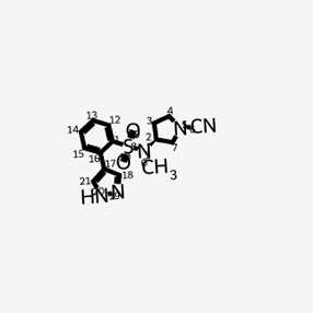 CN([C@H]1CCN(C#N)C1)S(=O)(=O)c1ccccc1-c1cn[nH]c1